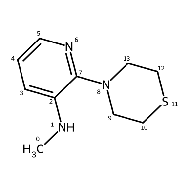 CNc1cccnc1N1CCSCC1